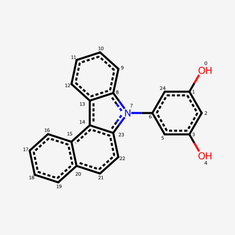 Oc1cc(O)cc(-n2c3ccccc3c3c4ccccc4ccc32)c1